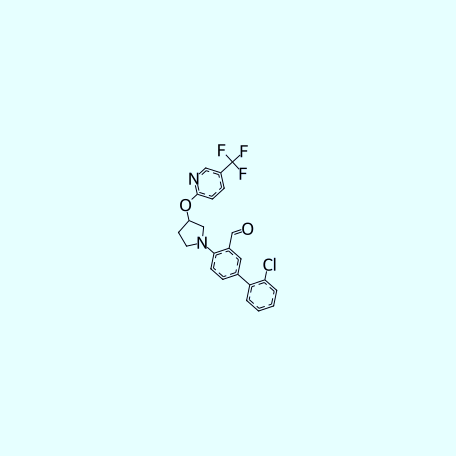 O=Cc1cc(-c2ccccc2Cl)ccc1N1CCC(Oc2ccc(C(F)(F)F)cn2)C1